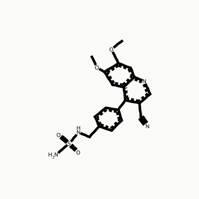 COc1cc2ncc(C#N)c(-c3ccc(CNS(N)(=O)=O)cc3)c2cc1OC